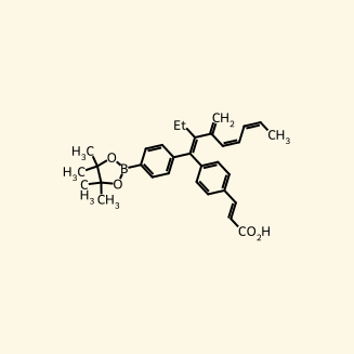 C=C(/C=C\C=C/C)/C(CC)=C(\c1ccc(/C=C/C(=O)O)cc1)c1ccc(B2OC(C)(C)C(C)(C)O2)cc1